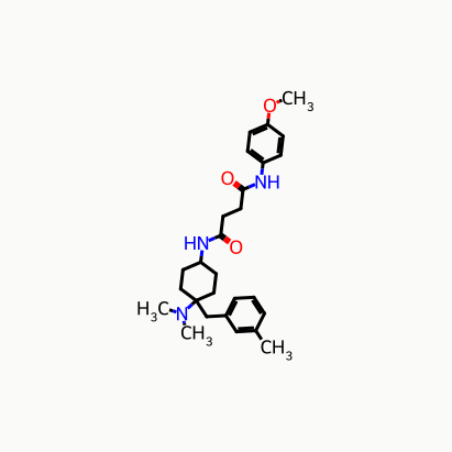 COc1ccc(NC(=O)CCC(=O)NC2CCC(Cc3cccc(C)c3)(N(C)C)CC2)cc1